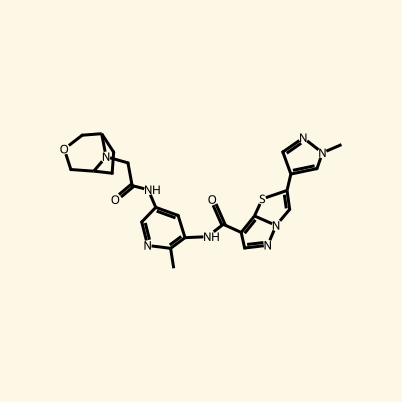 Cc1ncc(NC(=O)CN2C3CCC2COC3)cc1NC(=O)c1cnn2cc(-c3cnn(C)c3)sc12